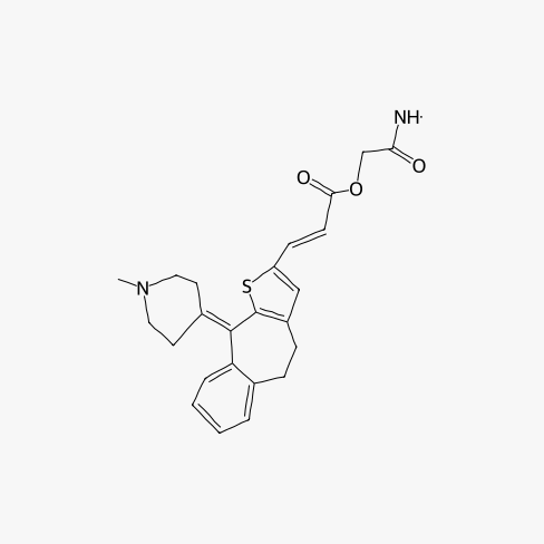 CN1CCC(=C2c3ccccc3CCc3cc(C=CC(=O)OCC([NH])=O)sc32)CC1